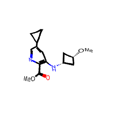 COC(=O)c1ncc(C2CC2)cc1N[C@H]1C[C@@H](OC)C1